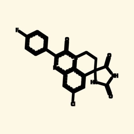 O=C1NC(=O)C2(CCn3c(=O)c(-c4ccc(F)cc4)nc4cc(Cl)cc2c43)N1